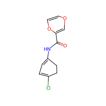 O=C(NC1=CC=C(Cl)CC1)C1=COC=CO1